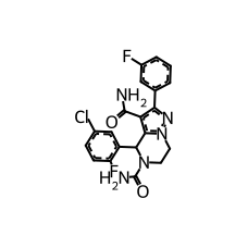 NC(=O)c1c(-c2cccc(F)c2)nn2c1C(c1cc(Cl)ccc1F)N(C(N)=O)CC2